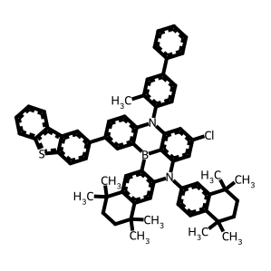 Cc1cc(-c2ccccc2)ccc1N1c2ccc(-c3ccc4sc5ccccc5c4c3)cc2B2c3cc4c(cc3N(c3ccc5c(c3)C(C)(C)CCC5(C)C)c3cc(Cl)cc1c32)C(C)(C)CCC4(C)C